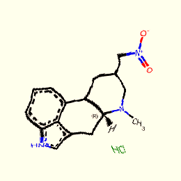 CN1CC(C[N+](=O)[O-])CC2c3cccc4[nH]cc(c34)C[C@H]21.Cl